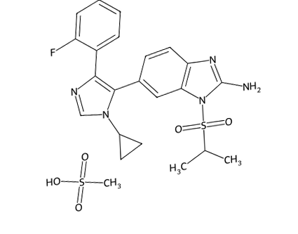 CC(C)S(=O)(=O)n1c(N)nc2ccc(-c3c(-c4ccccc4F)ncn3C3CC3)cc21.CS(=O)(=O)O